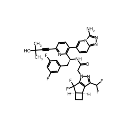 CC(C)(O)C#Cc1ccc(-c2ccc3nnc(N)n3c2)c([C@H](Cc2cc(F)cc(F)c2)NC(=O)Cn2nc(C(F)F)c3c2C(F)(F)[C@@H]2CC[C@H]32)n1